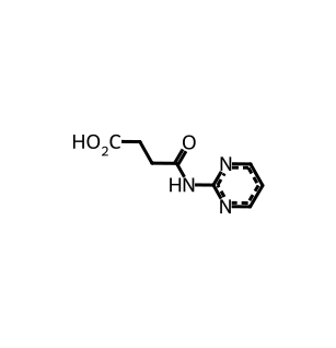 O=C(O)CCC(=O)Nc1ncccn1